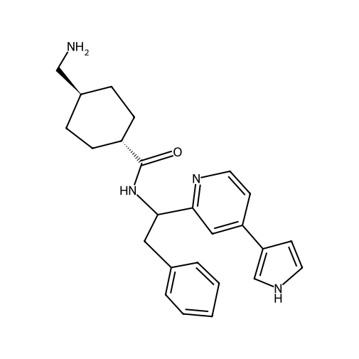 NC[C@H]1CC[C@H](C(=O)NC(Cc2ccccc2)c2cc(-c3cc[nH]c3)ccn2)CC1